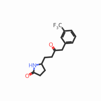 O=C(CCC1CCC(=O)N1)Cc1cccc(C(F)(F)F)c1